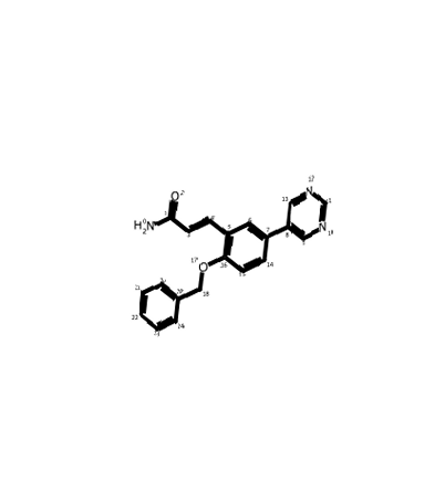 NC(=O)/C=C/c1cc(-c2cncnc2)ccc1OCc1ccccc1